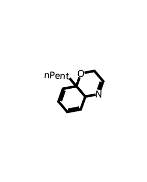 CCCCCC12C=CC=CC1N=CCO2